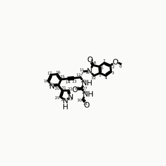 COc1ccc2c(c1)C(=O)N(C[C@@H](C#Cc1cccnc1-c1cn[nH]c1)NC(=O)NC=O)C2